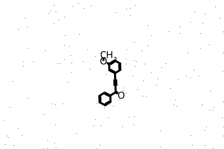 COc1cccc(C#CC(=O)c2ccccc2)c1